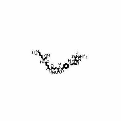 C[C@@H](CCC(=O)N[C@H](CCCCN)C(=O)O)NC(=O)CC[C@@H](NC(=O)c1ccc(NCc2cnc3nc(N)[nH]c(=O)c3n2)cc1)C(=O)O